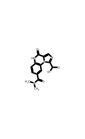 CCC(CC)c1ncc2c(=O)[nH]c3ccc(C(=O)N(C)C)cc3n12